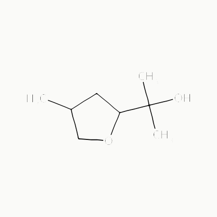 CC1COC(C(C)(C)O)C1